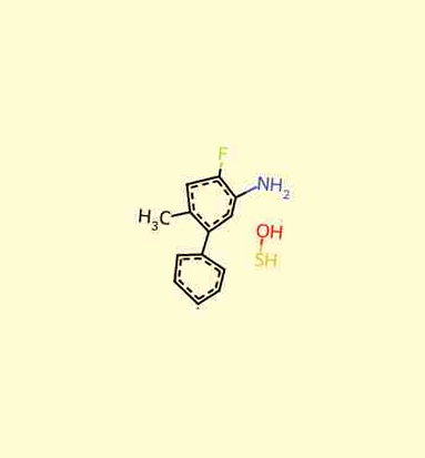 Cc1cc(F)c(N)cc1-c1cc[c]cc1.OS